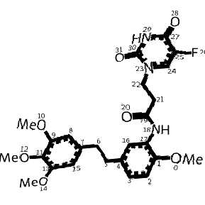 COc1ccc(CCc2cc(OC)c(OC)c(OC)c2)cc1NC(=O)CCn1cc(F)c(=O)[nH]c1=O